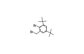 CC(C)(C)c1cc(CBr)c(Br)c(C(C)(C)C)c1